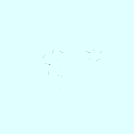 CC(C)OC(=O)[C@@H](C)NP(=O)(OC[C@H]1O[C@@H](n2cc(Cl)c(=O)[nH]c2=O)[C@](C)(Cl)[C@@H]1O)Oc1cccc2ccccc12